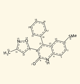 CSc1ccc2[nH]c(=O)c(-c3cc(C)no3)c(-c3ccccc3)c2c1